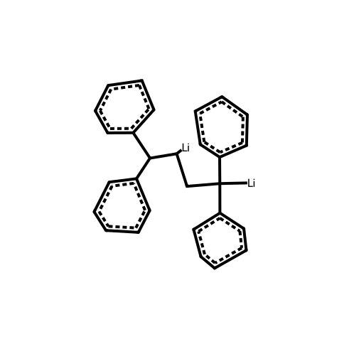 [Li][CH](C[C]([Li])(c1ccccc1)c1ccccc1)C(c1ccccc1)c1ccccc1